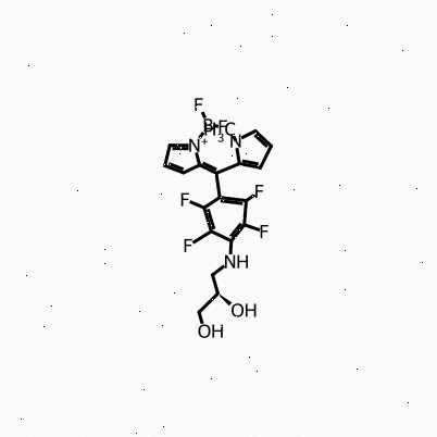 Cn1cccc1/C(=C1/C=CC=[N+]1B(F)F)c1c(F)c(F)c(NC[C@@H](O)CO)c(F)c1F